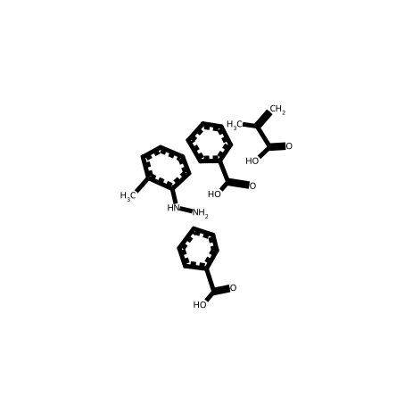 C=C(C)C(=O)O.Cc1ccccc1NN.O=C(O)c1ccccc1.O=C(O)c1ccccc1